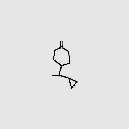 C[C](C1CCNCC1)C1CC1